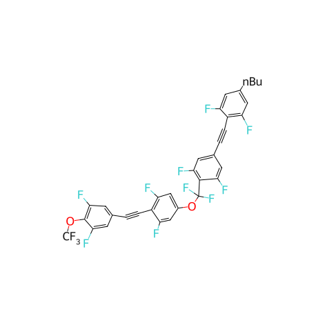 CCCCc1cc(F)c(C#Cc2cc(F)c(C(F)(F)Oc3cc(F)c(C#Cc4cc(F)c(OC(F)(F)F)c(F)c4)c(F)c3)c(F)c2)c(F)c1